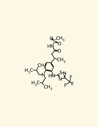 CC(C)CN(CC(C)C)c1ccc(C(C)CC(=O)NS(C)(=O)=O)cc1Nc1nc(C(F)(F)F)ns1